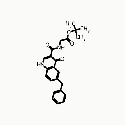 CC(C)(C)OC(=O)CNC(=O)c1c[nH]c2ccc(Cc3ccccc3)cc2c1=O